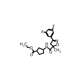 CCOC(=O)C1CCC(NC(=O)C2(C)CC(c3cc(F)cc(F)c3)=NO2)C1